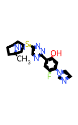 C[C@]12CCC(C[C@@H](Sc3cnc(-c4cc(F)c(-n5ccnc5)cc4O)nn3)C1)N2